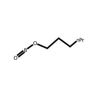 CCCCCCOB=O